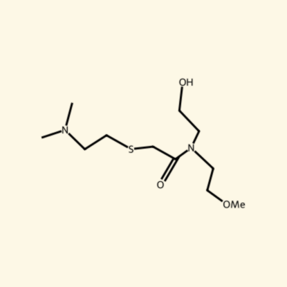 COCCN(CCO)C(=O)CSCCN(C)C